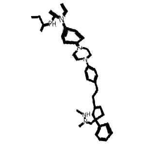 C=CN(C(=C)PC(C)CC)c1ccc(N2CCN(c3ccc(CCC4CCC(CN(C)NC)(c5ccccc5)C4)cc3)CC2)cc1